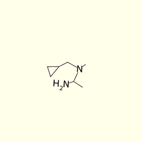 CC(N)N(C)CC1CC1